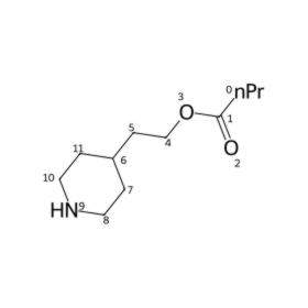 CCCC(=O)OCCC1CCNCC1